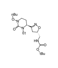 CCCCON1CC[C@@H](C2=NO[C@H](CNC(=O)OC(C)(C)C)C2)N(CC)C1=O